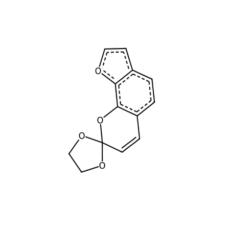 C1=CC2(OCCO2)Oc2c1ccc1ccoc21